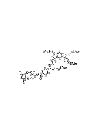 CSSSCC(SSSC(C)(CSSSC)c1cccc(C(C)(CSSSC)SSSC)c1)c1ccc(C(=O)OCC2(C)COc3c(C)sc(C)c3OC2)cc1